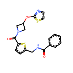 O=C(NCc1ccc(C(=O)N2CC(Oc3nccs3)C2)s1)c1ccccc1